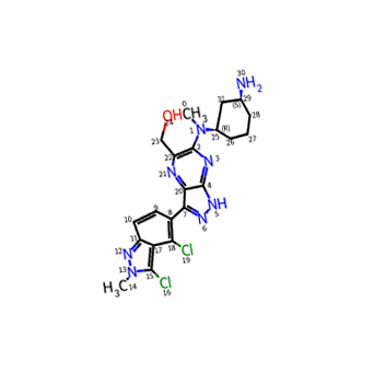 CN(c1nc2[nH]nc(-c3ccc4nn(C)c(Cl)c4c3Cl)c2nc1CO)[C@@H]1CCC[C@H](N)C1